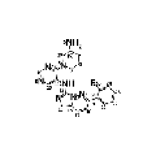 N[C@H]1CCCN(c2ncncc2Nc2ncc3ccc(-c4ccccc4F)nn23)C1